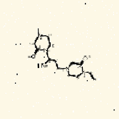 CCN1CCN(CCC(S)N2CCNCC2=O)CC1=O